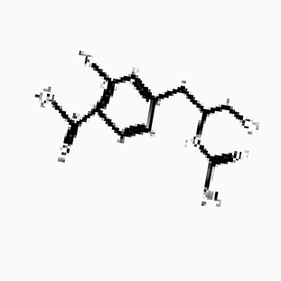 NC(=O)OC(CO)Cc1ccc(C(N)=O)c(F)c1